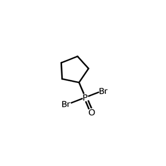 O=P(Br)(Br)C1CCCC1